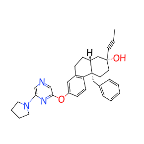 CC#C[C@@]1(O)CC[C@@]2(Cc3ccccc3)c3ccc(Oc4cncc(N5CCCC5)n4)cc3CC[C@@H]2C1